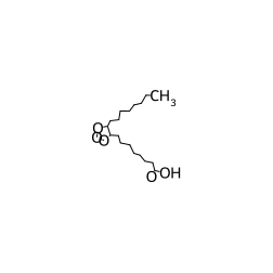 CCCCCCCCC1OOOC1CCCCCCCC(=O)O